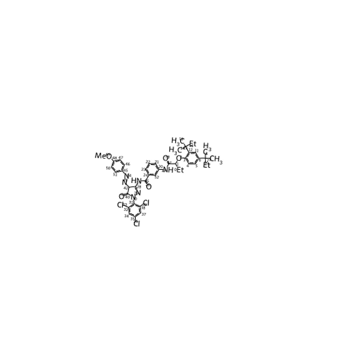 CCC(Oc1ccc(C(C)(C)CC)cc1C(C)(C)CC)C(=O)Nc1cccc(C(=O)NC2=NN(c3c(Cl)cc(Cl)cc3Cl)C(=O)C2N=Nc2ccc(OC)cc2)c1